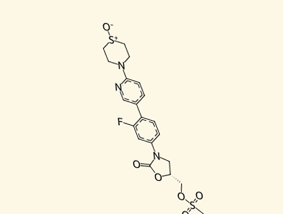 CS(=O)(=O)OC[C@H]1CN(c2ccc(-c3ccc(N4CC[S+]([O-])CC4)nc3)c(F)c2)C(=O)O1